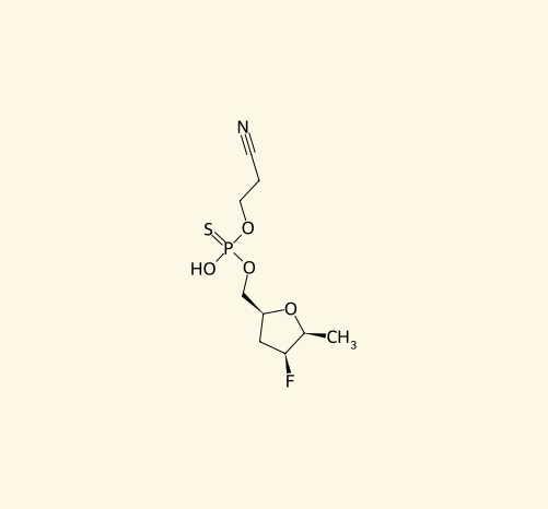 C[C@@H]1O[C@H](COP(O)(=S)OCCC#N)C[C@@H]1F